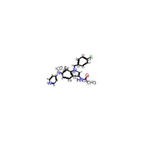 CCOC(=O)N(c1ccncc1)c1ccc2c(NC(=O)C=O)cn(Cc3ccc(F)cc3)c2c1